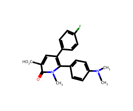 CN(C)c1ccc(-c2c(-c3ccc(F)cc3)cc(C(=O)O)c(=O)n2C)cc1